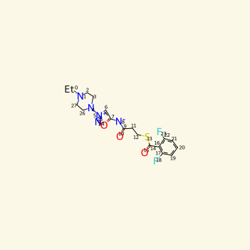 CCN1CCN([n+]2cc([N-]C(=O)CCSC(=O)c3c(F)cccc3F)on2)CC1